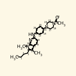 CCCCc1c(C)c2ccc(Nc3ccc(N4CCN(C(C)=O)CC4)cc3)nc2n1C